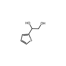 OCC(O)c1cccs1